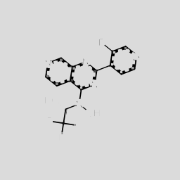 C[C@H](N(C)c1nc(-c2ccncc2F)nc2cnccc12)C(F)(F)F